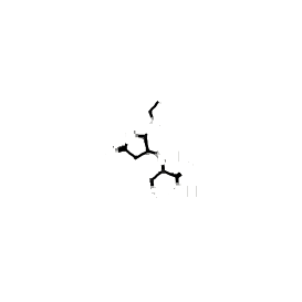 CCOC1OC(=O)CC1NC(CS)C(=O)O